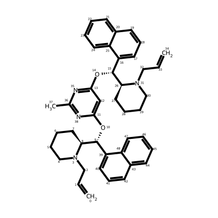 C=CCN1CCCC[C@H]1[C@H](Oc1cc(O[C@H](c2cccc3ccccc23)[C@@H]2CCCCN2CC=C)nc(C)n1)c1cccc2ccccc12